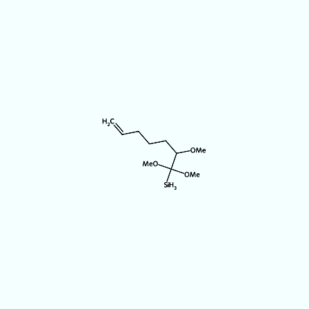 C=CCCCC(OC)C([SiH3])(OC)OC